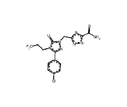 NC(=O)c1nc(Cn2nc(-c3ccc(Cl)cc3)n(CCC(F)(F)F)c2=O)n[nH]1